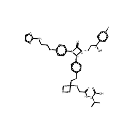 CC(C)[C@@H](NC(=O)COC1(CCc2ccc([C@@H]3[C@@H](CC[C@H](O)c4ccc(F)cc4)C(=O)N3c3ccc(CCCNc4ncco4)cc3)cc2)COC1)C(=O)O